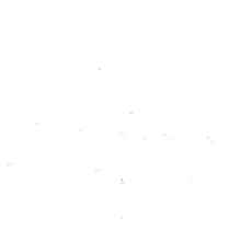 CCN(CC)c1cc(C(F)(F)F)c2c(=O)cc(Nc3ccccc3)n(-c3ccccc3)c2n1